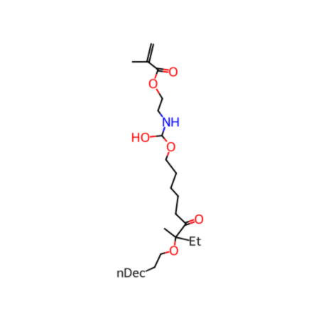 C=C(C)C(=O)OCCNC(O)OCCCCCC(=O)C(C)(CC)OCCCCCCCCCCCC